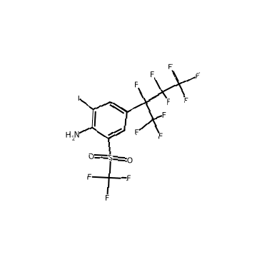 Nc1c(I)cc(C(F)(C(F)(F)F)C(F)(F)C(F)(F)F)cc1S(=O)(=O)C(F)(F)F